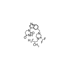 CC(C)CN1CCN(Cc2ccn3ncc(N4CCC(=O)NC4=O)c3c2)C[C@@H]1C(F)F